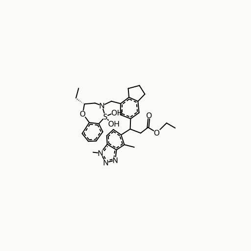 CCOC(=O)CC(c1cc2c(c(CN3C[C@@H](CC)Oc4ccccc4S3(O)O)c1)CCC2)c1ccc2c(nnn2C)c1C